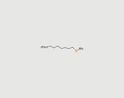 CCCCCCCCCCCC[O][Mo]